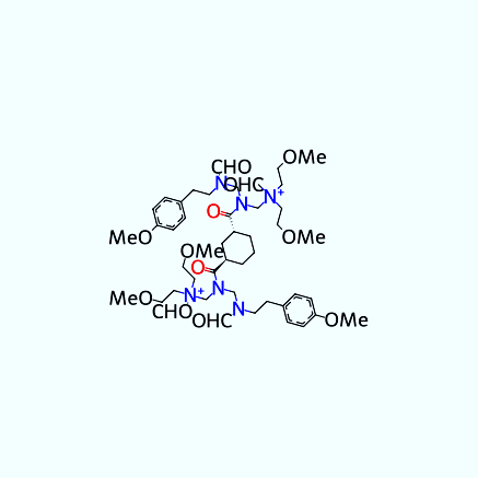 COCC[N+](C=O)(CCOC)CN(CN(C=O)CCc1ccc(OC)cc1)C(=O)[C@@H]1CCC[C@@H](C(=O)N(CN(C=O)CCc2ccc(OC)cc2)C[N+](C=O)(CCOC)CCOC)C1